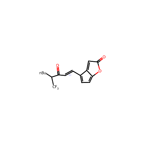 CCCCC(C(=O)/C=C/C1=CC=C2OC(=O)C=C12)C(F)(F)F